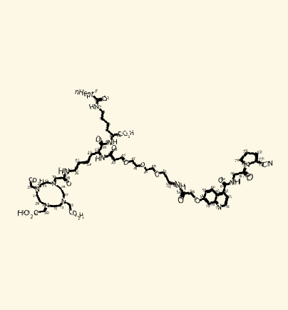 CCCCCCCC(=O)NCCCCC(NC(=O)C(CCCCNC(=O)CN1CCN(CC(=O)O)CCN(CC(=O)O)CCN(CC(=O)O)CC1)NC(=O)CCOCCOCCOCCNC(=O)COc1ccc2c(C(=O)NCC(=O)N3CCCC3C#N)ccnc2c1)C(=O)O